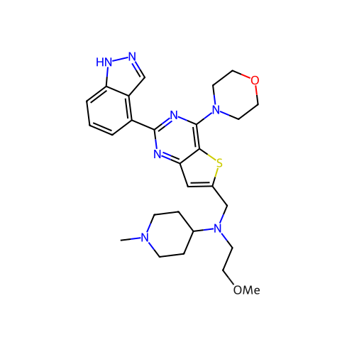 COCCN(Cc1cc2nc(-c3cccc4[nH]ncc34)nc(N3CCOCC3)c2s1)C1CCN(C)CC1